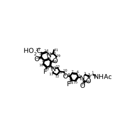 CC(=O)NC[C@H]1CN(c2ccc(OCC3CCN(c4c(F)cc5c(=O)c(C(=O)O)cn6c5c4OCC6C)C3)c(F)c2)C(=O)O1